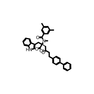 Cc1cc(C)cc(C(=O)N(C)[C@@](CC(=O)CCc2ccc(-c3ccccc3)cc2)(Cc2c[nH]c3ccccc23)C(=O)O)c1